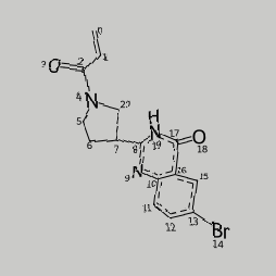 C=CC(=O)N1CCC(c2nc3ccc(Br)cc3c(=O)[nH]2)C1